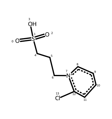 O=S(=O)(O)CCC[n+]1ccccc1Cl